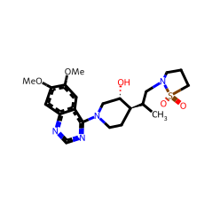 COc1cc2ncnc(N3CC[C@H](C(C)CN4CCCS4(=O)=O)[C@@H](O)C3)c2cc1OC